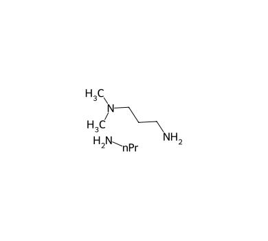 CCCN.CN(C)CCCN